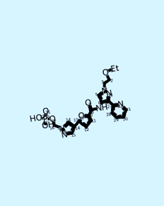 CCOCCn1cc(NC(=O)c2ccc(-c3cnn(COP(=O)(O)O)c3)o2)c(-c2ccccn2)n1